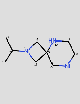 CC(C)N1CC2(CNCCN2)C1